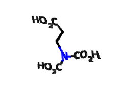 O=C(O)CCN(C(=O)O)C(=O)O